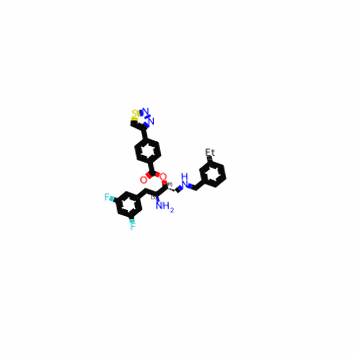 CCc1cccc(CNC[C@@H](OC(=O)c2ccc(-c3csnn3)cc2)[C@@H](N)Cc2cc(F)cc(F)c2)c1